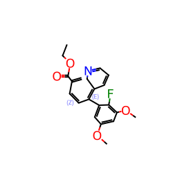 C=C(/C=C\C(=C1\C=CC=NC1)c1cc(OC)cc(OC)c1F)C(=O)OCC